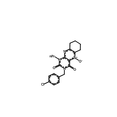 CCCn1c(=O)n(Cc2ccc(Cl)cc2)c(=O)c2c1nc1c([n+]2[O-])CCCC1